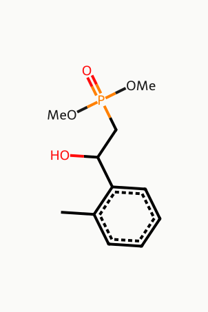 COP(=O)(CC(O)c1ccccc1C)OC